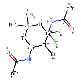 CCCC(=O)[NH][Ti]1[Ti][Ti]([CH3])([CH3])[Ti][Ti]([Cl])([Cl])([NH]C(=O)CCC)[Ti]1[CH2]C